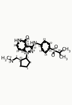 C=NC[C@@H]1CCCC1n1nc(Nc2ccc(S(=O)(=O)C(C)C)cc2)c2c(=O)[nH]ccc21